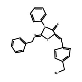 O=C1/C(=C/c2ccc(CO)cc2)S/C(=N\Cc2ccccc2)N1c1ccccc1